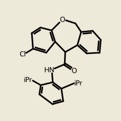 CC(C)c1cccc(C(C)C)c1NC(=O)C1c2ccccc2COc2ccc(Cl)cc21